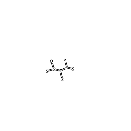 O=S(=S)=S(=S)=S(=S)=S